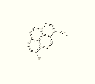 CC(C)c1ccc2ccc3ccc(N)c4ccc1c2c34